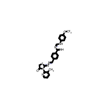 Cc1cccnc1N1C(=O)CS/C1=N\N=C\c1ccc(C(=N)/N=C\Nc2ccc(OC(F)(F)F)cc2)cc1